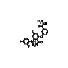 NNC(=O)c1cccc(Oc2cc(F)cc(Nc3ccc(I)cc3F)c2C(N)=O)c1